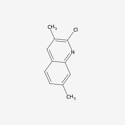 Cc1ccc2cc(C)c(Cl)nc2c1